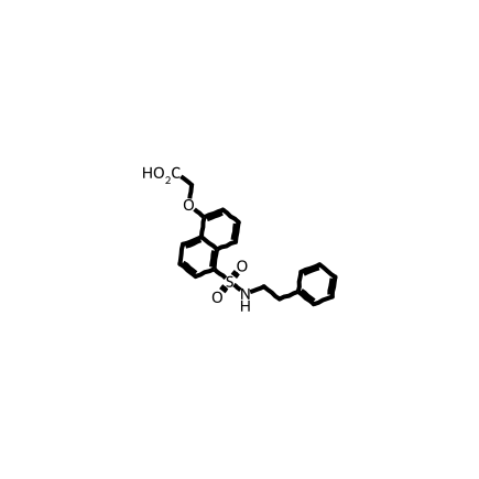 O=C(O)COc1cccc2c(S(=O)(=O)NCCc3ccccc3)cccc12